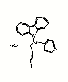 CCCCN(c1ccncc1)n1c2ccccc2c2ccccc21.Cl